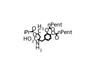 CCCCCC(=O)Oc1ccc(CC(N)(C[C@H](C)OC(=O)C(C)C)C(=O)O)cc1OC(=O)CCCCC